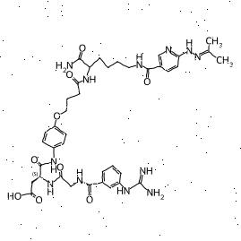 CC(C)=NNc1ccc(C(=O)NCCCCC(NC(=O)CCCOc2ccc(NC(=O)[C@H](CC(=O)O)NC(=O)CNC(=O)c3cccc(NC(=N)N)c3)cc2)C(N)=O)cn1